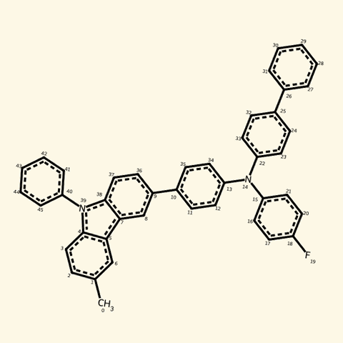 Cc1ccc2c(c1)c1cc(-c3ccc(N(c4ccc(F)cc4)c4ccc(-c5ccccc5)cc4)cc3)ccc1n2-c1ccccc1